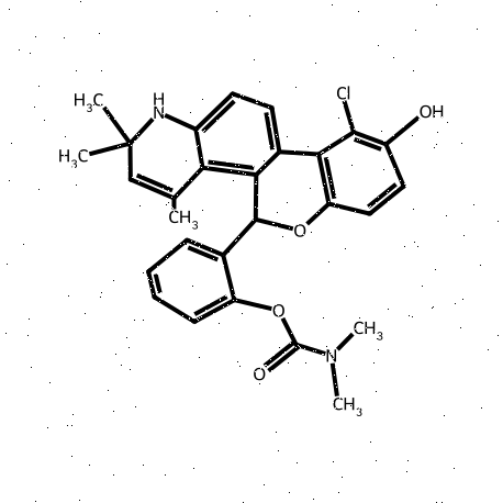 CC1=CC(C)(C)Nc2ccc3c(c21)C(c1ccccc1OC(=O)N(C)C)Oc1ccc(O)c(Cl)c1-3